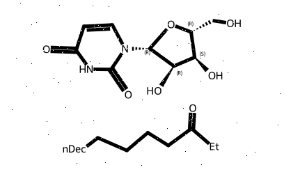 CCCCCCCCCCCCCCC(=O)CC.O=c1ccn([C@@H]2O[C@H](CO)[C@@H](O)[C@H]2O)c(=O)[nH]1